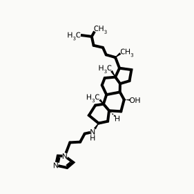 CC(C)CCC[C@@H](C)C1CCC2C3C(CC[C@@]21C)[C@@]1(C)CC[C@H](NCCCn2ccnc2)C[C@@H]1C[C@H]3O